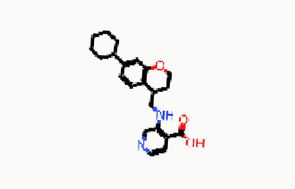 O=C(O)c1ccncc1NCC1CCOc2cc(C3CCCCC3)ccc21